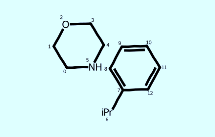 C1COCCN1.CC(C)c1ccccc1